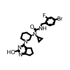 O=C(NCc1ccc(Br)cc1F)N(C1CC1)[C@@H]1CCCN(c2nc(O)nc3c2CCC3)C1